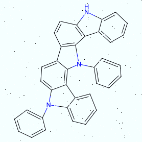 c1ccc(-n2c3ccccc3c3c2ccc2c4ccc5[nH]c6ccccc6c5c4n(-c4ccccc4)c23)cc1